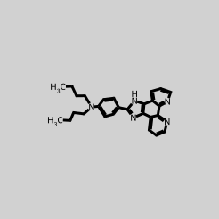 CCCCN(CCCC)c1ccc(-c2nc3c4cccnc4c4ncccc4c3[nH]2)cc1